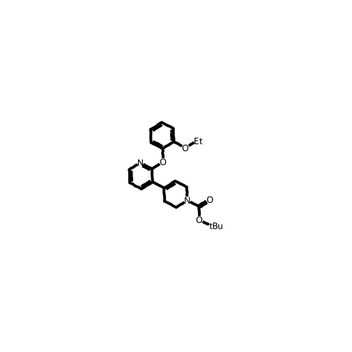 CCOc1ccccc1Oc1ncccc1C1=CCN(C(=O)OC(C)(C)C)CC1